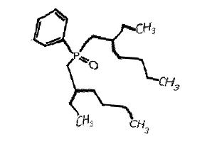 CCCCC(CC)CP(=O)(CC(CC)CCCC)c1c[c]ccc1